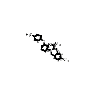 Cc1ccc(Oc2cccc(N(Cc3ccc(C(F)(F)F)cc3F)C[C@@H](O)C(F)(F)F)c2)cc1